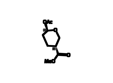 COC(=O)[C@@H]1CC[C@@H](OC(C)=O)OC1